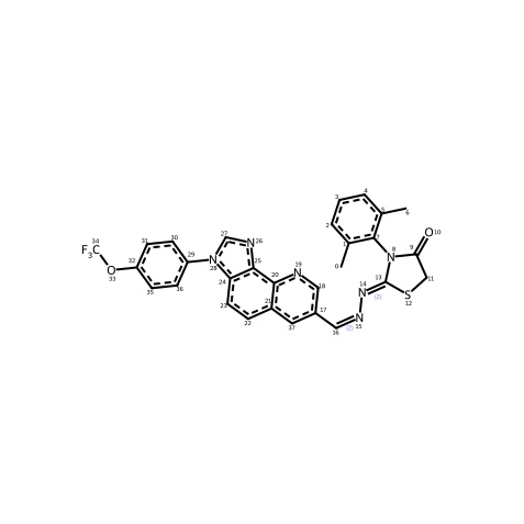 Cc1cccc(C)c1N1C(=O)CS/C1=N\N=C/c1cnc2c(ccc3c2ncn3-c2ccc(OC(F)(F)F)cc2)c1